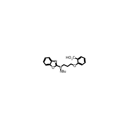 CCCCN(CCCOc1ccccc1C(=O)O)c1nc2ccccc2o1